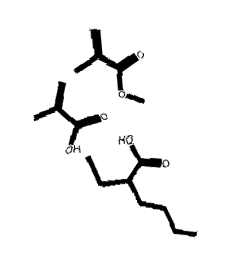 C=C(C)C(=O)O.C=C(C)C(=O)OC.CCCCC(CC)C(=O)O